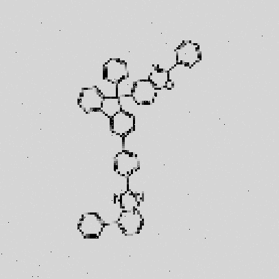 c1ccc(-c2nc3cc(C4(c5ccccc5)c5ccccc5-c5cc(-c6ccc(-c7nc8c(-c9ccccc9)cccn8n7)cc6)ccc54)ccc3o2)cc1